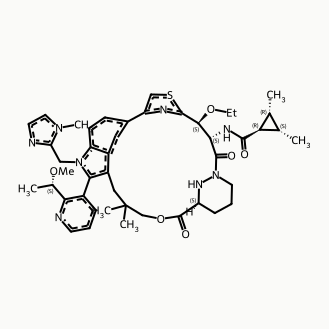 CCO[C@@H]1c2nc(cs2)-c2ccc3c(c2)c(c(-c2cccnc2[C@H](C)OC)n3Cc2nccn2C)CC(C)(C)COC(=O)[C@@H]2CCCN(N2)C(=O)[C@H]1NC(=O)[C@H]1[C@H](C)[C@@H]1C